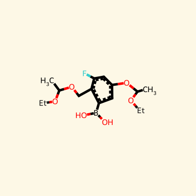 CCOC(C)OCc1c(F)cc(OC(C)OCC)cc1B(O)O